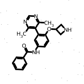 Cc1ncnc(C)c1-c1cc(NC(=O)c2ccccc2)ccc1OC1CNC1